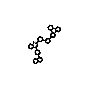 c1cc(-c2cccc(-c3cc(-c4ccc(-c5cccc6ccccc56)cc4)c4ccccc4n3)c2)cc(-c2ccc3c4ccccc4c4ccccc4c3c2)c1